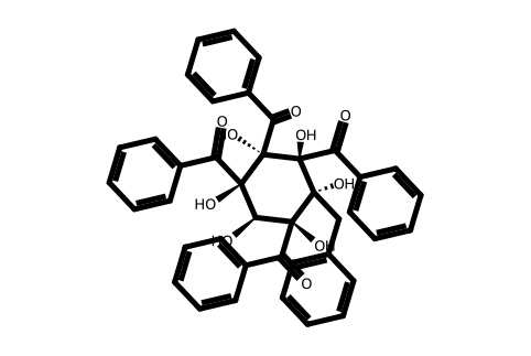 O=C(c1ccccc1)[C@@]1(O)[C@](O)(C(=O)c2ccccc2)[C@@](O)(Cc2ccccc2)[C@](O)(C(=O)c2ccccc2)[C@@H](O)[C@]1(O)C(=O)c1ccccc1